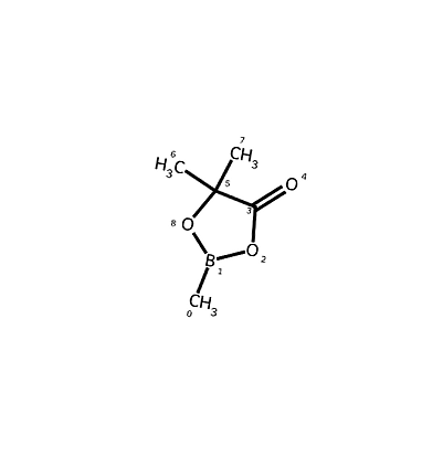 CB1OC(=O)C(C)(C)O1